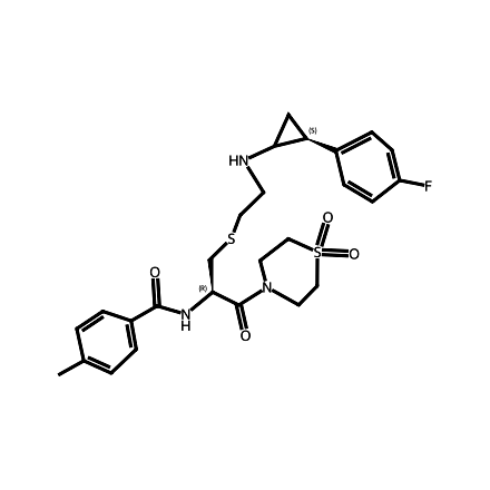 Cc1ccc(C(=O)N[C@@H](CSCCNC2C[C@H]2c2ccc(F)cc2)C(=O)N2CCS(=O)(=O)CC2)cc1